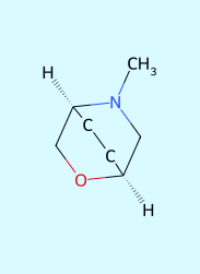 CN1C[C@@H]2CC[C@H]1CO2